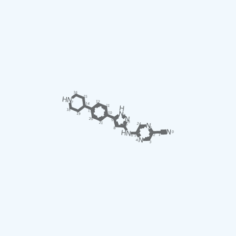 N#Cc1cnc(Nc2cc(-c3ccc(C4CCNCC4)cc3)[nH]n2)cn1